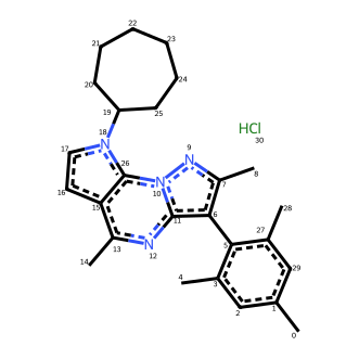 Cc1cc(C)c(-c2c(C)nn3c2nc(C)c2ccn(C4CCCCCC4)c23)c(C)c1.Cl